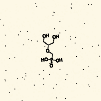 O=P(O)(O)COC(CO)CO